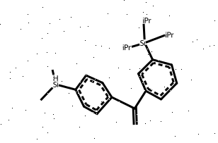 C=C(c1ccc([SiH](C)C)cc1)c1cccc([Si](C(C)C)(C(C)C)C(C)C)c1